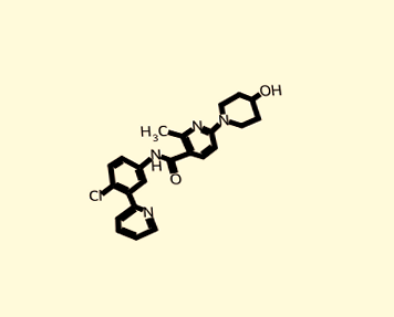 Cc1nc(N2CCC(O)CC2)ccc1C(=O)Nc1ccc(Cl)c(-c2ccccn2)c1